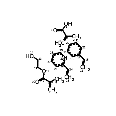 C=C(C)C(=O)O.C=C(C)C(=O)OCCO.C=Cc1ccccc1.C=Cc1ccccn1